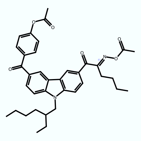 CCCC/C(=N\OC(C)=O)C(=O)c1ccc2c(c1)c1cc(C(=O)c3ccc(OC(C)=O)cc3)ccc1n2CC(CC)CCCC